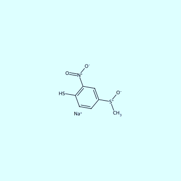 C[S+]([O-])c1ccc(S)c([N+](=O)[O-])c1.[Na+]